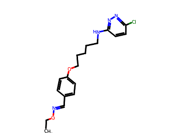 CCON=Cc1ccc(OCCCCCNc2ccc(Cl)nn2)cc1